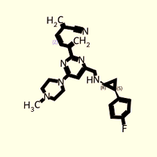 C=C(C#N)/C=C\C(=C)c1nc(CN[C@@H]2C[C@H]2c2ccc(F)cc2)cc(N2CCN(C)CC2)n1